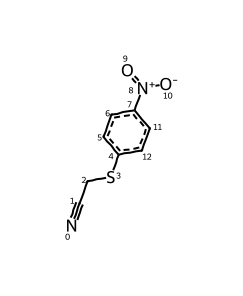 N#CCSc1ccc([N+](=O)[O-])cc1